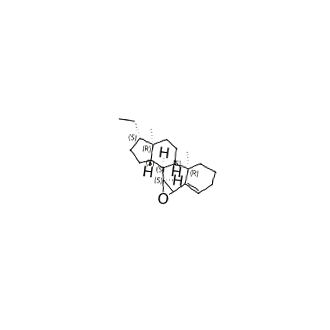 CC[C@H]1CC[C@H]2[C@@H]3[C@@H]4OC4C4=CCCC[C@]4(C)[C@H]3CC[C@]12C